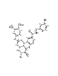 CCC(CC)C(=O)N(Cc1ccc(C(=O)NCc2cccc(Br)c2)cc1)C1CCN(Cc2ccc(OC)c(O)c2)CC1